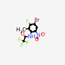 Cc1c(F)c(Br)cc([N+](=O)[O-])c1NC(=O)C(F)(F)F